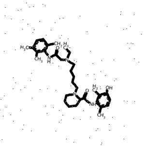 CCN(CCCCCN1CCCCC1C(=O)Nc1c(C)ccc(O)c1C)CC(=O)Nc1c(C)ccc(C)c1C